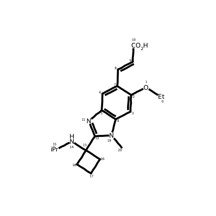 CCOc1cc2c(cc1/C=C/C(=O)O)nc(C1(NC(C)C)CCC1)n2C